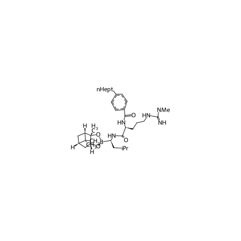 CCCCCCCc1ccc(C(=O)N[C@@H](CCCNC(=N)NC)C(=O)N[C@@H](CC(C)C)B2O[C@@H]3C[C@@H]4C[C@@H](C4(C)C)[C@]3(C)O2)cc1